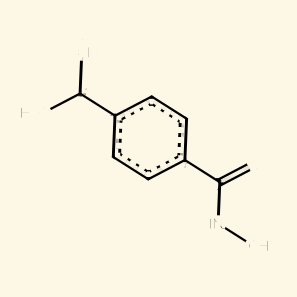 CNC(=O)c1ccc([C](C)C)cc1